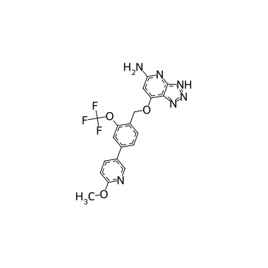 COc1ccc(-c2ccc(COc3cc(N)nc4[nH]nnc34)c(OC(F)(F)F)c2)cn1